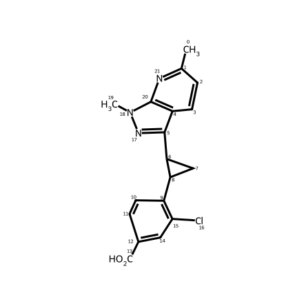 Cc1ccc2c(C3CC3c3ccc(C(=O)O)cc3Cl)nn(C)c2n1